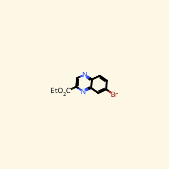 CCOC(=O)c1cnc2ccc(Br)cc2n1